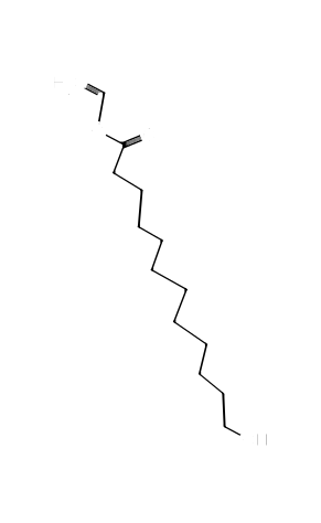 C=COC(=O)CCCCCCCCCCCO